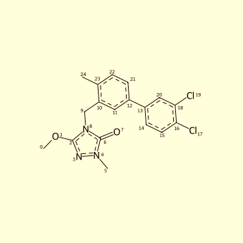 COc1nn(C)c(=O)n1Cc1cc(-c2ccc(Cl)c(Cl)c2)ccc1C